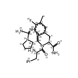 Cc1cc(C[C@@H](C(N)=O)N(C(=O)[C@@H](N)CC(C)C)C(=O)[C@@H]2CCCN2C(=N)N)ccc1F